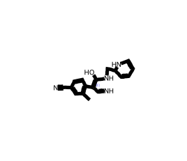 Cc1cc(C#N)ccc1/C(C=N)=C(\O)NCC1C=CC=CN1